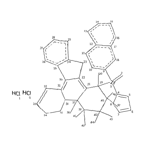 Cl.Cl.[CH2]=[Zr]([C]1=CC=CC1)([c]1ccc2ccccc2c1)[C]1(C)C2=C3Cc4ccccc4C3=C3C=CCCC3C2(C)C(C)(C)C(C)(C)C1(C)C